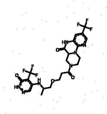 CC(COCCC(=O)N1CCN2c3ncc(C(F)(F)F)cc3NC(=O)C2C1)Nc1cn[nH]c(=O)c1C(F)(F)F